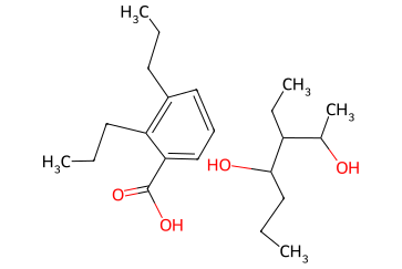 CCCC(O)C(CC)C(C)O.CCCc1cccc(C(=O)O)c1CCC